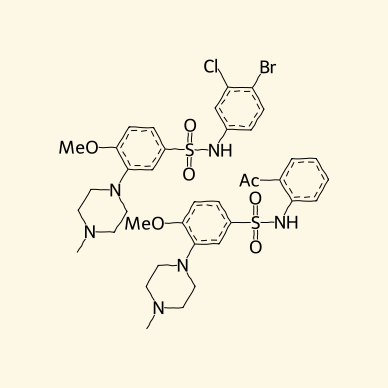 COc1ccc(S(=O)(=O)Nc2ccc(Br)c(Cl)c2)cc1N1CCN(C)CC1.COc1ccc(S(=O)(=O)Nc2ccccc2C(C)=O)cc1N1CCN(C)CC1